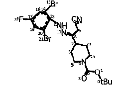 CC(C)(C)OC(=O)N1CCC(C(CC#N)=NNc2c(Br)cc(F)cc2Br)CC1